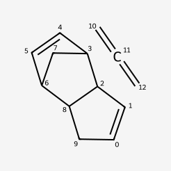 C1=CC2C3C=CC(C3)C2C1.C=C=C